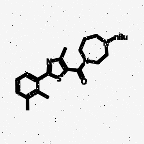 CCCCN1CCCN(C(=O)c2sc(-c3cccc(C)c3C)nc2C)CC1